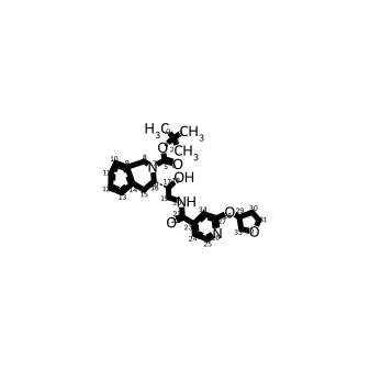 CC(C)(C)OC(=O)N1Cc2ccccc2C[C@H]1C(O)CNC(=O)c1ccnc(OC2CCOC2)c1